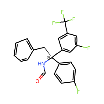 O=CN[C@](Cc1ccccc1)(c1ccc(F)cc1)c1cc(F)cc(C(F)(F)F)c1